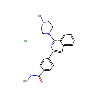 CCCNC(=O)c1ccc(-c2cc3ccccc3c(N3CCN(CC)CC3)n2)cc1.Cl